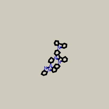 c1ccc(-n2c3ccccc3c3c4cc(-n5c6ccccc6c6ccccc65)ccc4n(-c4cccc(-n5c6ccccc6n6c7ccccc7nc56)c4)c32)cc1